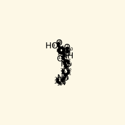 CS(=O)(=O)c1cc(C(=O)O)ccc1NC(=O)c1csc(N2CCC(Oc3ncccn3)CC2)n1